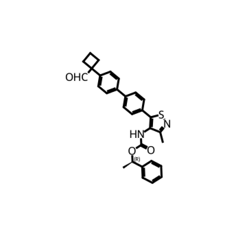 Cc1nsc(-c2ccc(-c3ccc(C4(C=O)CCC4)cc3)cc2)c1NC(=O)O[C@H](C)c1ccccc1